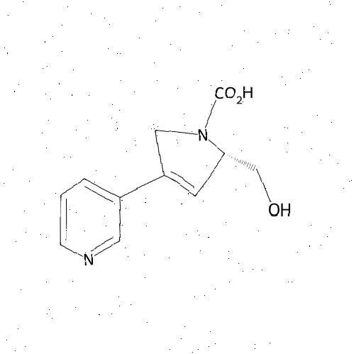 O=C(O)N1CC(c2cccnc2)=C[C@H]1CO